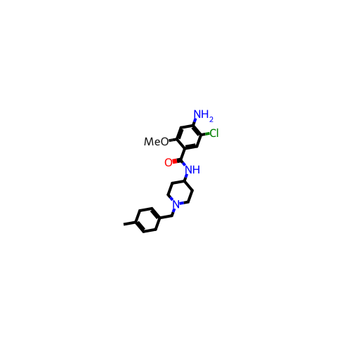 COc1cc(N)c(Cl)cc1C(=O)NC1CCN(CC2=CCC(C)=CC2)CC1